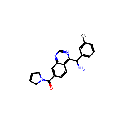 N#Cc1cccc(C(N)c2ncnc3cc(C(=O)N4CC=CC4)ccc23)c1